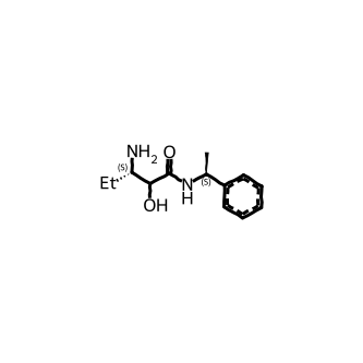 CC[C@H](N)C(O)C(=O)N[C@@H](C)c1ccccc1